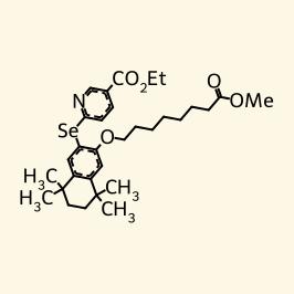 CCOC(=O)c1ccc([Se]c2cc3c(cc2OCCCCCCCC(=O)OC)C(C)(C)CCC3(C)C)nc1